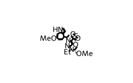 CCN1C(=N/C)/C(=C(\N=C(/C)C2C=CC(OC)=Cc3[nH]ccc32)C(C)(C)S(C)(=O)=O)OC[C@@H]1COC